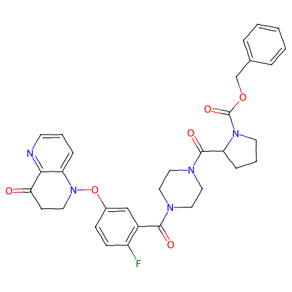 O=C1CCN(Oc2ccc(F)c(C(=O)N3CCN(C(=O)C4CCCN4C(=O)OCc4ccccc4)CC3)c2)c2cccnc21